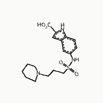 O=C(O)c1cc2cc(NS(=O)(=O)CCCN3CCCCC3)ccc2[nH]1